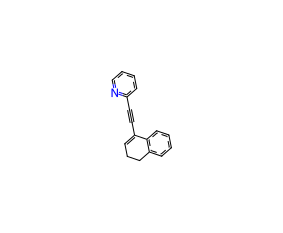 C(#Cc1ccccn1)C1=CCCc2ccccc21